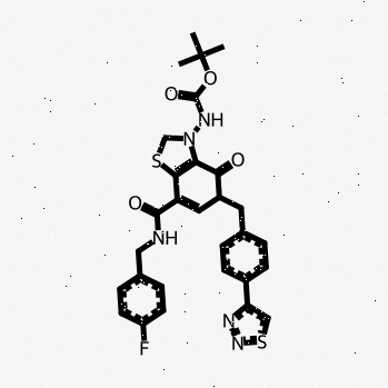 CC(C)(C)OC(=O)NN1CSC2=C1C(=O)C(Cc1ccc(-c3csnn3)cc1)C=C2C(=O)NCc1ccc(F)cc1